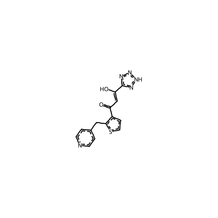 O=C(C=C(O)c1nn[nH]n1)c1ccsc1Cc1ccncc1